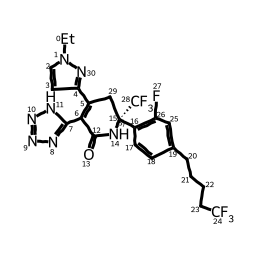 CCn1ccc(C2=C(c3nnn[nH]3)C(=O)N[C@@](c3ccc(CCCCC(F)(F)F)cc3F)(C(F)(F)F)C2)n1